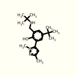 Cc1cc(-c2cc(C(C)(C)C)cc(CNC(C)(C)C)c2O)n(C)n1